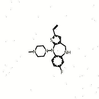 C=Cc1cc2c(s1)N(N1CCN(C)CC1)c1ccc(F)cc1NC2